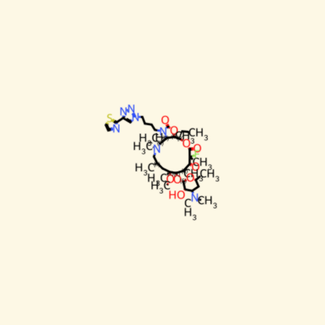 CC[C@H]1OC(=O)C(C)(F)C(=O)[C@H](C)[C@@H](O[C@@H]2OC(C)CC(N(C)C)C2O)[C@](C)(OC)C[C@@H](C)CN(C)[C@H](C)[C@H]2N(CCCCn3cc(-c4nccs4)nn3)C(=O)O[C@]12C